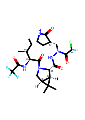 CC[C@H](C)[C@H](NC(=O)C(F)(F)F)C(=O)N1C[C@H]2[C@@H]([C@H]1C(=O)NN(C[C@@H]1CCNC1=O)C(=O)[C@H](F)Cl)C2(C)C